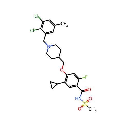 CS(=O)(=O)NC(=O)c1cc(C2CC2)c(OCC2CCN(Cc3cc(C(F)(F)F)cc(Cl)c3Cl)CC2)cc1F